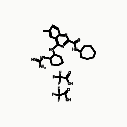 Cc1ccc2nc(C(=O)NC3CCCCCC3)nc(NC3CCCCC3NC(=N)N)c2c1.O=C(O)C(F)(F)F.O=C(O)C(F)(F)F